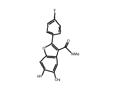 CCCc1cc2oc(-c3ccc(F)cc3)c(C(=O)NC)c2cc1O